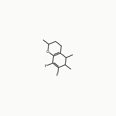 CC1CCC2=C(O1)C(F)=C(F)C(C)C2C